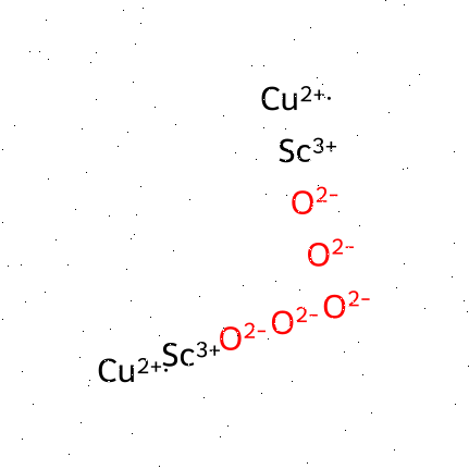 [Cu+2].[Cu+2].[O-2].[O-2].[O-2].[O-2].[O-2].[Sc+3].[Sc+3]